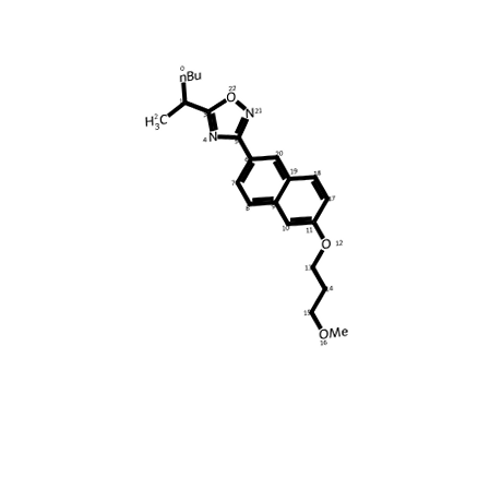 CCCCC(C)c1nc(-c2ccc3cc(OCCCOC)ccc3c2)no1